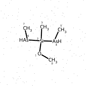 CO[Si](C)([AsH]C)[AsH]C